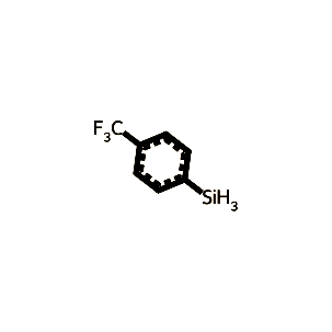 FC(F)(F)c1ccc([SiH3])cc1